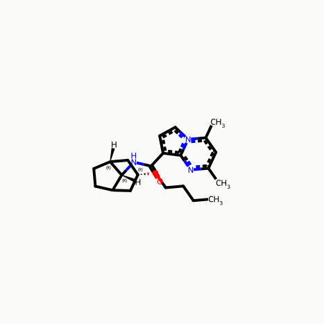 CCCCO[C@@H]1CC2CC[C@H](C1)[C@@H]2NC(=O)c1ccn2c(C)cc(C)nc12